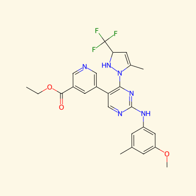 CCOC(=O)c1cncc(-c2cnc(Nc3cc(C)cc(OC)c3)nc2N2NC(C(F)(F)F)C=C2C)c1